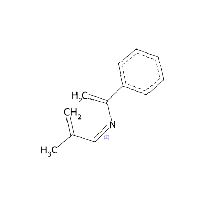 C=C(C)/C=N\C(=C)c1ccccc1